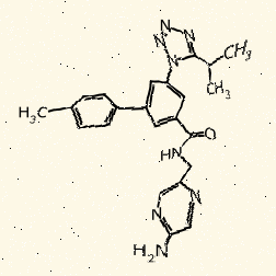 Cc1ccc(-c2cc(C(=O)NCc3cnc(N)cn3)cc(-n3nnnc3C(C)C)c2)cc1